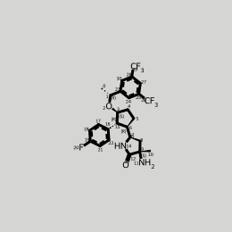 C[C@@H](O[C@H]1CC[C@@H]([C@H]2C[C@](C)(N)C(=O)N2)[C@@H]1c1ccc(F)cc1)c1cc(C(F)(F)F)cc(C(F)(F)F)c1